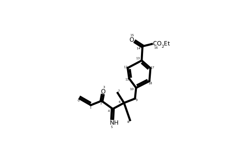 C=CC(=O)C(=N)C(C)(C)Cc1ccc(C(=O)C(=O)OCC)cc1